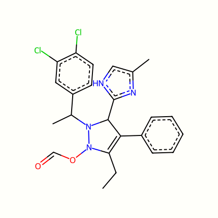 CCC1=C(c2ccccc2)C(c2nc(C)c[nH]2)N(C(C)c2ccc(Cl)c(Cl)c2)N1OC=O